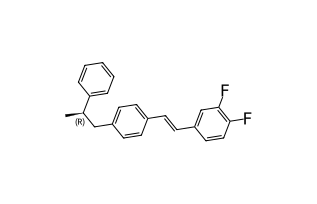 C[C@H](Cc1ccc(C=Cc2ccc(F)c(F)c2)cc1)c1ccccc1